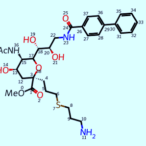 COC(=O)[C@@]1(CCCSCCCN)C[C@@H](O)[C@@H](NC(C)=O)C([C@H](O)[C@H](O)CNC(=O)c2ccc(-c3ccccc3)cc2)O1